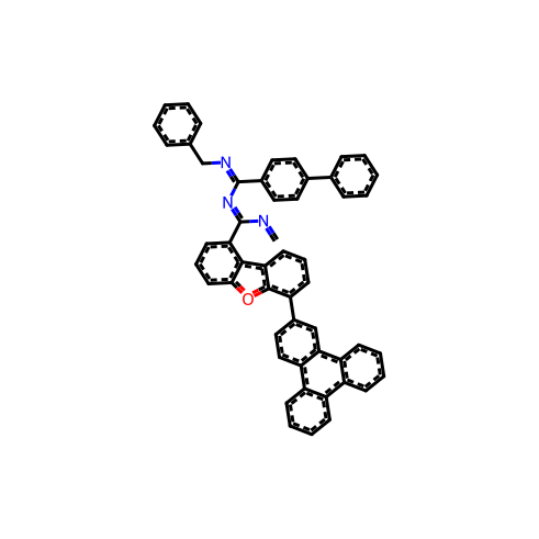 C=N/C(=N\C(=N/Cc1ccccc1)c1ccc(-c2ccccc2)cc1)c1cccc2oc3c(-c4ccc5c6ccccc6c6ccccc6c5c4)cccc3c12